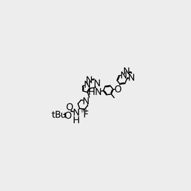 Cc1cc(Nc2ncnn3ccc(CN4CCC(NC(=O)OC(C)(C)C)[C@H](F)C4)c23)ccc1Oc1ccn2ncnc2c1